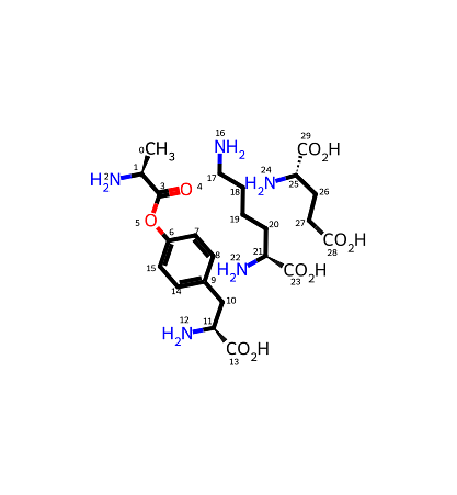 C[C@H](N)C(=O)Oc1ccc(C[C@H](N)C(=O)O)cc1.NCCCC[C@H](N)C(=O)O.N[C@@H](CCC(=O)O)C(=O)O